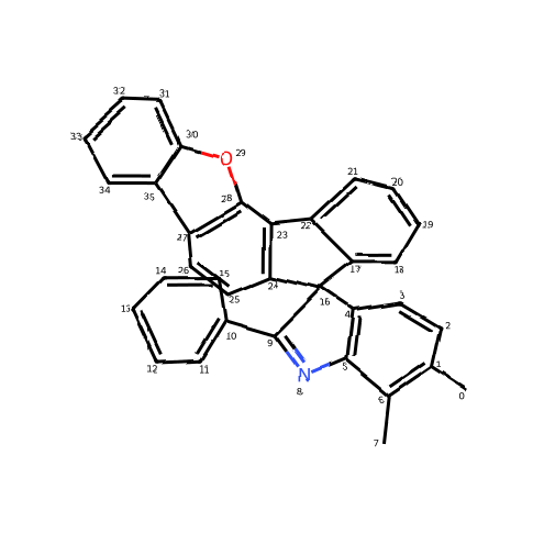 Cc1ccc2c(c1C)N=C(c1ccccc1)C21c2ccccc2-c2c1ccc1c2oc2ccccc21